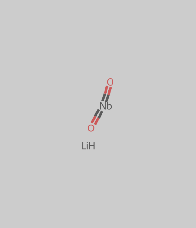 [LiH].[O]=[Nb]=[O]